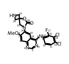 COc1cc2ncnc(Nc3ccc(Cl)c(Cl)c3F)c2cc1N1CC2(CNC2)OC1=O